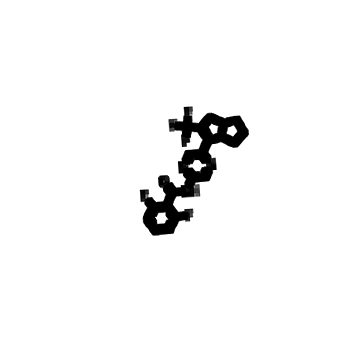 O=C(Nc1cnc(C2=C(C(F)(F)F)CC3CCCC23)cn1)c1c(F)cccc1F